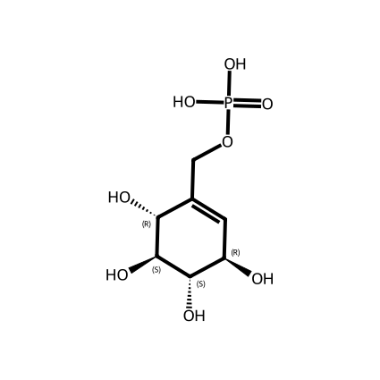 O=P(O)(O)OCC1=C[C@@H](O)[C@H](O)[C@@H](O)[C@@H]1O